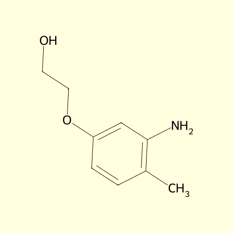 Cc1ccc(OCCO)cc1N